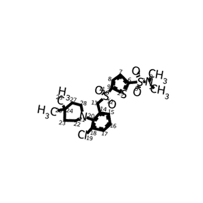 CN(C)S(=O)(=O)c1ccc(S(=O)(=O)Cc2cccc(Cl)c2N2CCC(C)(C)CC2)s1